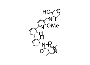 COc1nc(-c2cccc(-c3cccc(NC(=O)c4c(C)cnn(C)c4=O)c3Cl)c2Cl)ccc1CNC1CCOC[C@@H]1O